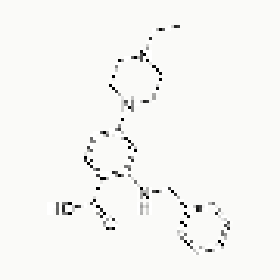 CCN1CCN(c2ccc(C(=O)O)c(NCc3ccccc3)c2)CC1